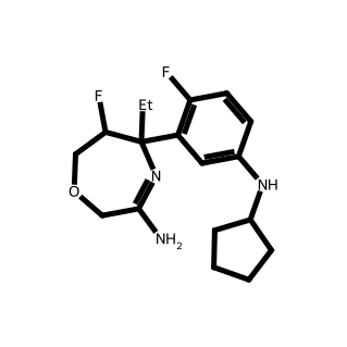 CCC1(c2cc(NC3CCCC3)ccc2F)N=C(N)COCC1F